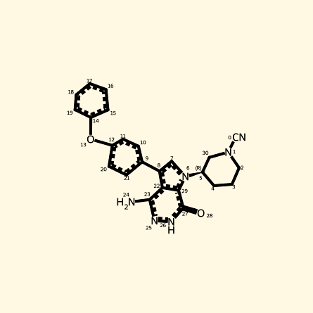 N#CN1CCC[C@@H](n2cc(-c3ccc(Oc4ccccc4)cc3)c3c(N)n[nH]c(=O)c32)C1